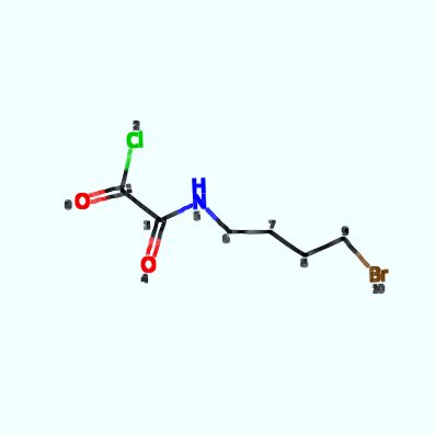 O=C(Cl)C(=O)NCCCCBr